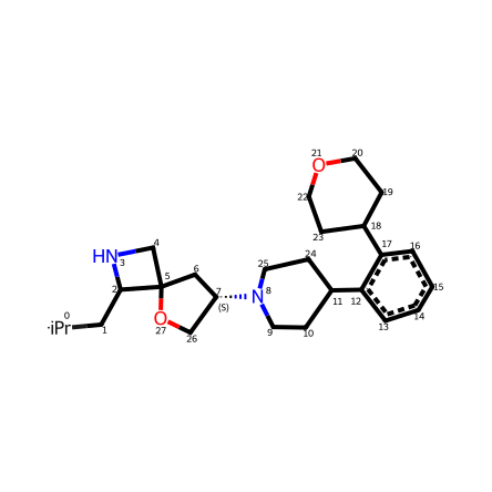 C[C](C)CC1NCC12C[C@H](N1CCC(c3ccccc3C3CCOCC3)CC1)CO2